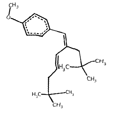 COc1ccc(C=C(C=CCC(C)(C)C)CC(C)(C)C)cc1